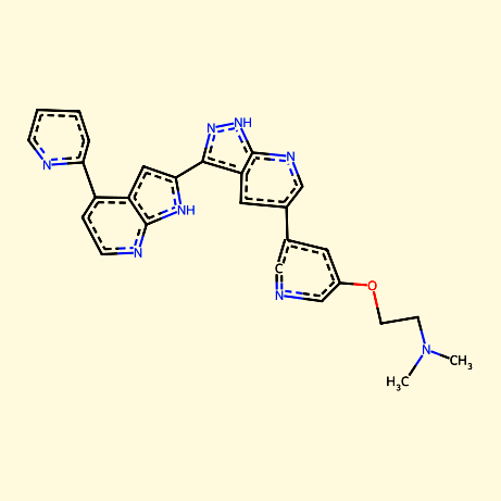 CN(C)CCOc1cncc(-c2cnc3[nH]nc(-c4cc5c(-c6ccccn6)ccnc5[nH]4)c3c2)c1